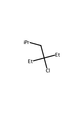 CCC(Cl)(CC)CC(C)C